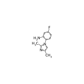 Cc1cn(-c2ccc(F)cc2N)c(C)n1